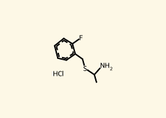 CC(N)SCc1ccccc1F.Cl